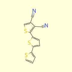 N#Cc1csc(-c2ccc(-c3cccs3)s2)c1C#N